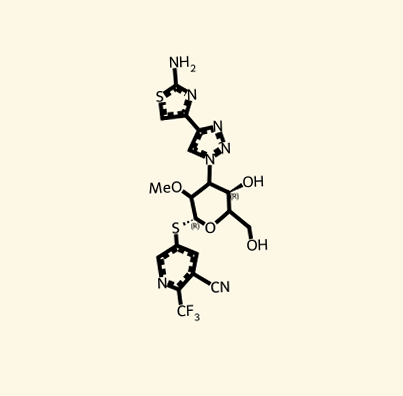 COC1C(n2cc(-c3csc(N)n3)nn2)[C@@H](O)C(CO)O[C@@H]1Sc1cnc(C(F)(F)F)c(C#N)c1